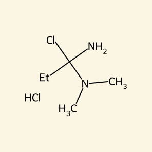 CCC(N)(Cl)N(C)C.Cl